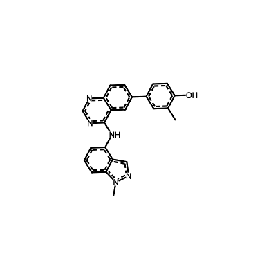 Cc1cc(-c2ccc3ncnc(Nc4cccc5c4cnn5C)c3c2)ccc1O